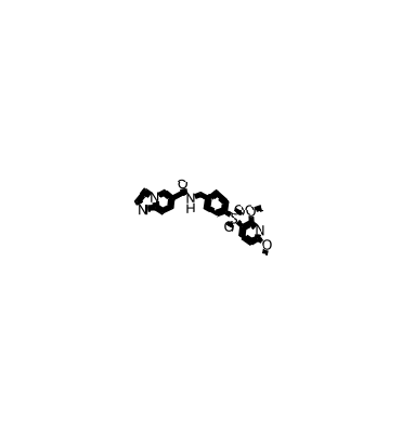 COc1ccc(S(=O)(=O)c2ccc(CNC(=O)c3ccc4nccn4c3)cc2)c(OC)n1